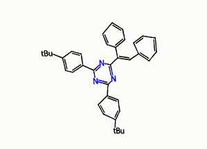 CC(C)(C)c1ccc(-c2nc(C(=Cc3ccccc3)c3ccccc3)nc(-c3ccc(C(C)(C)C)cc3)n2)cc1